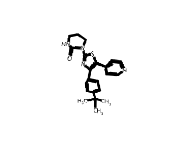 CC(C)(C)c1ccc(-c2nc(N3CCCNC3=O)sc2-c2ccncc2)cc1